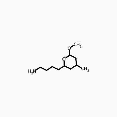 COC1CC(C)CC(CCCCN)O1